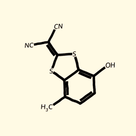 Cc1ccc(O)c2c1SC(=C(C#N)C#N)S2